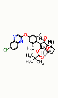 Cc1cc(Oc2cnc3cc(Cl)ccc3n2)cc(C)c1C1=C(OC(=O)C(C)(C)C)[C@H]2[C@@H](C1=O)[C@@H]1CC[C@H]2O1